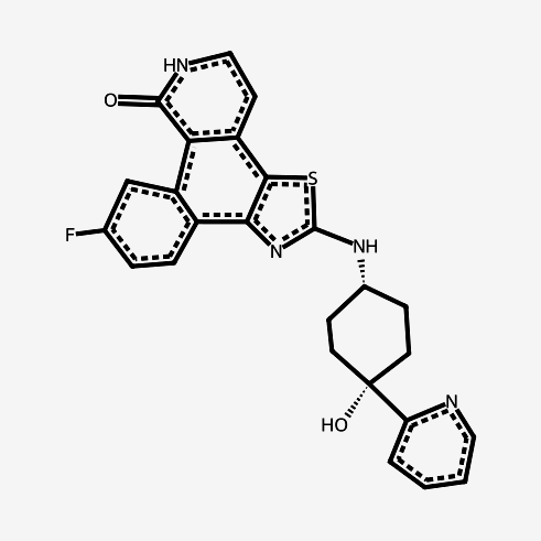 O=c1[nH]ccc2c3sc(N[C@H]4CC[C@](O)(c5ccccn5)CC4)nc3c3ccc(F)cc3c12